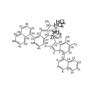 CC1=Cc2c(-c3cccc4ccccc34)cc(C)c(C)c2[CH]1[Zr]([CH3])([CH3])(=[SiH2])[CH]1C(C(C)C)=Cc2c(-c3cccc4ccccc34)cccc21.Cl.Cl